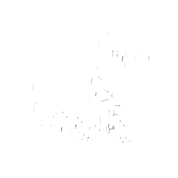 C=C(C)[C@H](NC(=O)O[C@@H]1C[C@@H]2C[C@@H]2C1)C(=O)N1C[C@H](Oc2cc(-c3csc(NC(C)C)n3)nc3c(Cl)c(OC[C@@H]4CC(F)(F)CN4C(=O)OC(C)(C)C)ccc23)C[C@H]1C(=O)N[C@]1(C(=O)OC)C[C@H]1CC